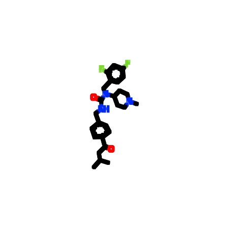 CC(C)CC(=O)c1ccc(CNC(=O)N(Cc2ccc(F)cc2F)C2CCN(C)CC2)cc1